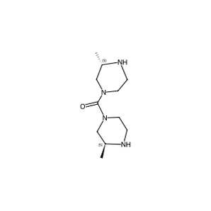 C[C@H]1CN(C(=O)N2CCN[C@@H](C)C2)CCN1